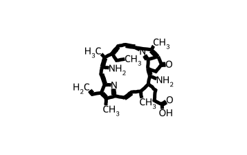 C=CC1=C(C)C2=NC\1=C/C(N)=C(C)/C(CC)=C/C=C1N=C3C(=C\1C)C(=O)C/C3=C(/N)C(CCC(=O)O)C(C)/C=C/2